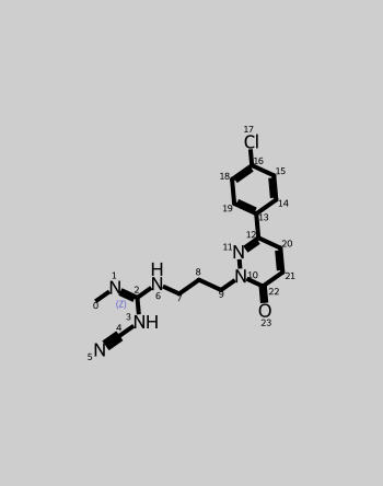 C/N=C(\NC#N)NCCCn1nc(-c2ccc(Cl)cc2)ccc1=O